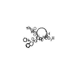 CC(C)(C)OC(=O)N[C@H]1CCCCC/C=C\[C@@H]2C[C@@]2(C(=O)O)NC(=O)[C@@H]2C[C@@H](OC(=O)N3CCc4ccccc4C3CN3CCCCC3)CN2C1=O